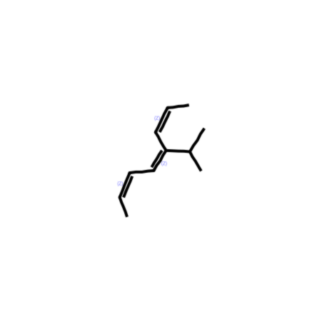 C\C=C/C=C(\C=C/C)C(C)C